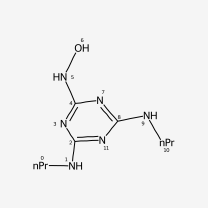 CCCNc1nc(NO)nc(NCCC)n1